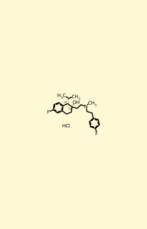 CC(C)[C@H]1c2ccc(F)cc2CC[C@]1(O)CCN(C)CCc1ccc(F)cc1.Cl